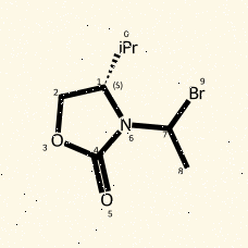 CC(C)[C@H]1COC(=O)N1C(C)Br